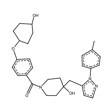 Cc1ccc(-n2nccc2CC2(O)CCN(C(=O)c3ccc(OC4CCC(O)CC4)cc3)CC2)cc1